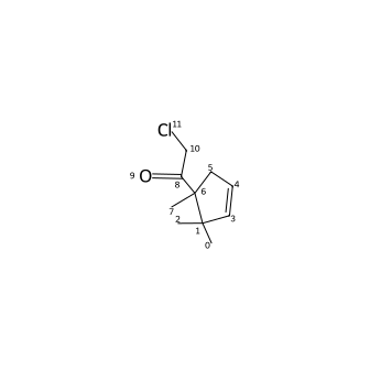 CC1(C)C=CCC1(C)C(=O)CCl